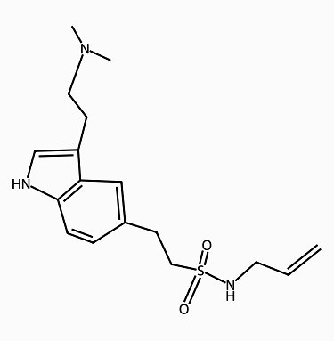 C=CCNS(=O)(=O)CCc1ccc2[nH]cc(CCN(C)C)c2c1